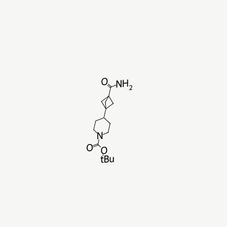 CC(C)(C)OC(=O)N1CCC(C23CC(C(N)=O)(C2)C3)CC1